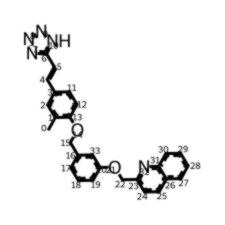 Cc1cc(C=Cc2nnn[nH]2)ccc1OCc1cccc(OCc2ccc3ccccc3n2)c1